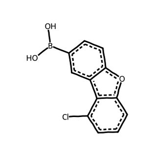 OB(O)c1ccc2oc3cccc(Cl)c3c2c1